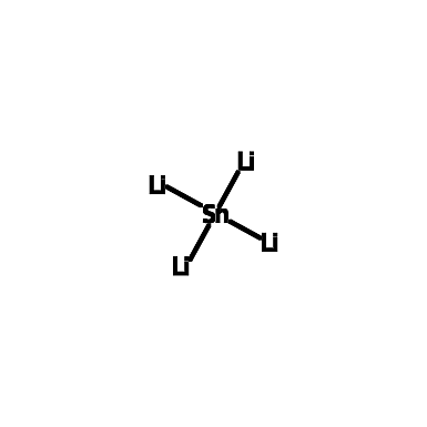 [Li][Sn]([Li])([Li])[Li]